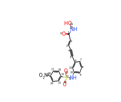 O=C(C=CC#Cc1cccc(NS(=O)(=O)c2ccc([N+](=O)[O-])cc2)c1)NO